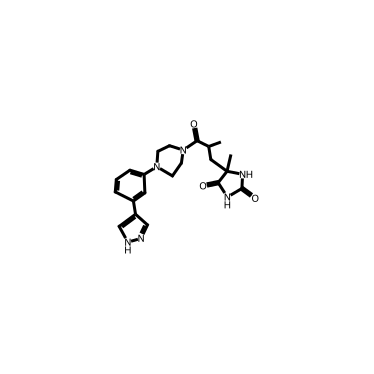 CC(CC1(C)NC(=O)NC1=O)C(=O)N1CCN(c2cccc(-c3cn[nH]c3)c2)CC1